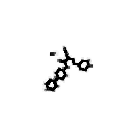 Cl.O=C=C(CCC1CCNCC1)C(=O)ON1CCN(c2ccncc2)CC1